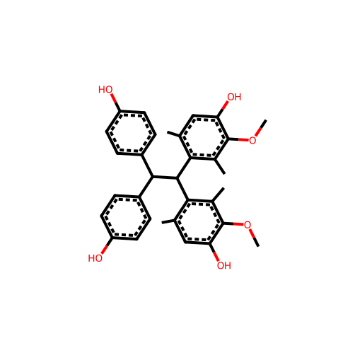 COc1c(O)cc(C)c(C(c2c(C)cc(O)c(OC)c2C)C(c2ccc(O)cc2)c2ccc(O)cc2)c1C